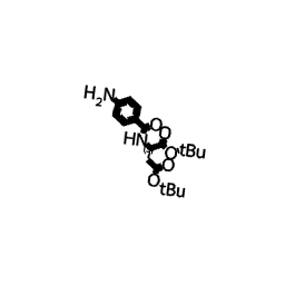 CC(C)(C)OC(=O)C[C@H](NC(=O)c1ccc(N)cc1)C(=O)OC(C)(C)C